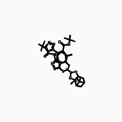 Cc1c(C[C@H](Sc2nnc(NC(=O)OC(C)(C)C)s2)B2OC3CC4CC(C4(C)C)[C@]3(C)O2)ccc(-n2ccnn2)c1C(=O)OC(C)(C)C